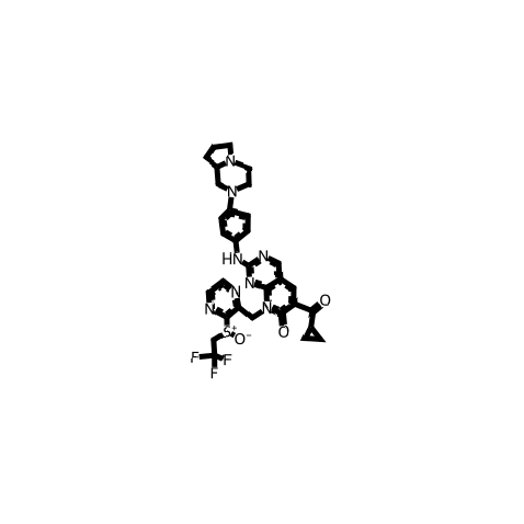 O=C(c1cc2cnc(Nc3ccc(N4CCN5CCCC5C4)cc3)nc2n(Cc2nccnc2[S+]([O-])CC(F)(F)F)c1=O)C1CC1